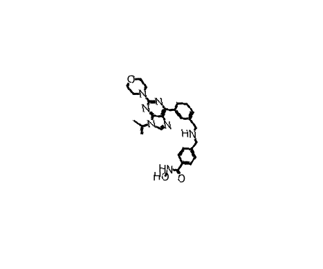 CC(C)n1cnc2c(C3=CC(CNCc4ccc(C(=O)NO)cc4)=CCC3)nc(N3CCOCC3)nc21